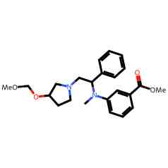 COCOC1CCN(CC(c2ccccc2)N(C)c2cccc(C(=O)OC)c2)C1